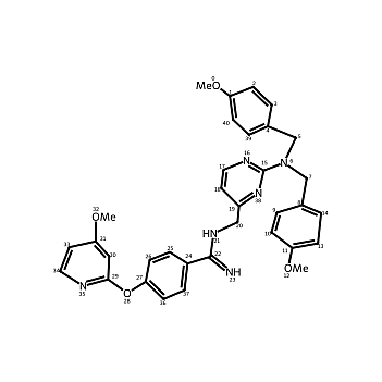 COc1ccc(CN(Cc2ccc(OC)cc2)c2nccc(CNC(=N)c3ccc(Oc4cc(OC)ccn4)cc3)n2)cc1